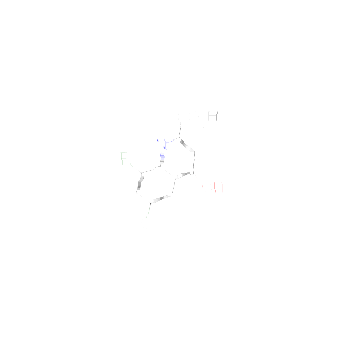 O=C(O)c1cc(O)c2cc(Cl)cc(F)c2n1